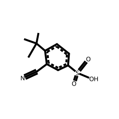 CC(C)(C)c1ccc(S(=O)(=O)O)cc1C#N